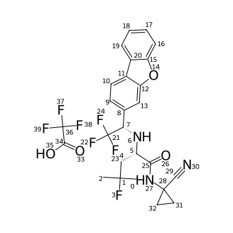 CC(C)(F)C[C@H](N[C@@H](c1ccc2c(c1)oc1ccccc12)C(F)(F)F)C(=O)NC1(C#N)CC1.O=C(O)C(F)(F)F